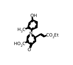 CCOC(=O)/C=C/c1cc(=O)c(C(=O)O)cn1-c1ccc(O)cc1C